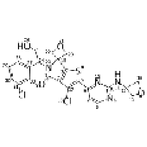 O=C1c2c(sc(-c3ccnc(NC4COC4)n3)c2Cl)C2(COC2)N1C(CO)c1cccc(Cl)c1